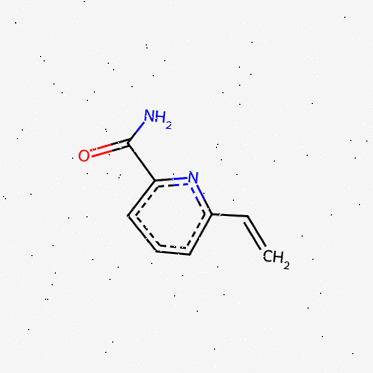 C=Cc1cccc(C(N)=O)n1